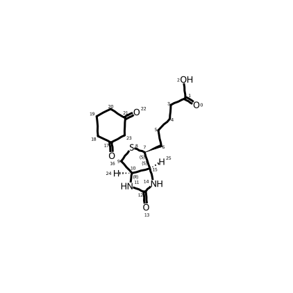 O=C(O)CCCC[C@@H]1SC[C@@H]2NC(=O)N[C@@H]21.O=C1CCCC(=O)C1